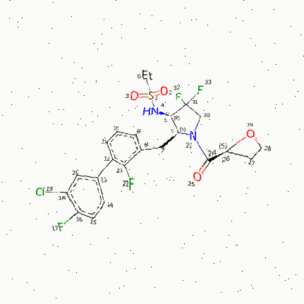 CCS(=O)(=O)N[C@@H]1[C@H](Cc2cccc(-c3ccc(F)c(Cl)c3)c2F)N(C(=O)[C@@H]2CCO2)CC1(F)F